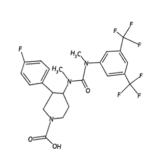 CN(C(=O)N(C)C1CCN(C(=O)O)CC1c1ccc(F)cc1)c1cc(C(F)(F)F)cc(C(F)(F)F)c1